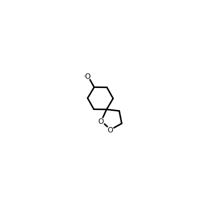 [O]C1CCC2(CCOO2)CC1